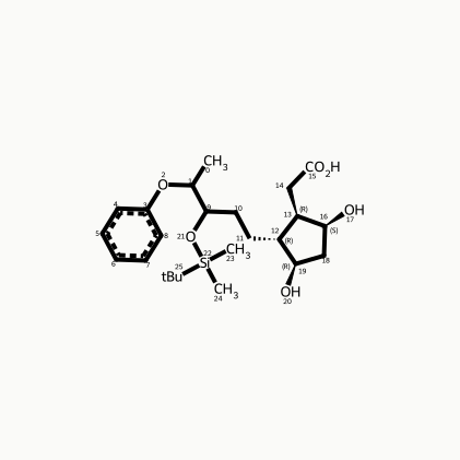 CC(Oc1ccccc1)C(CC[C@@H]1[C@@H](CC(=O)O)[C@@H](O)C[C@H]1O)O[Si](C)(C)C(C)(C)C